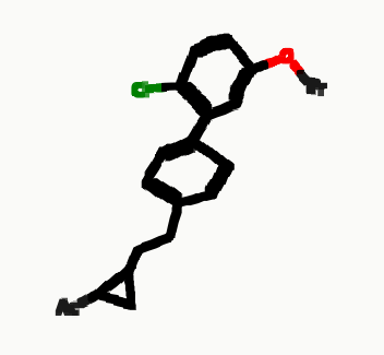 CC(=O)C1CC1CCc1ccc(-c2cc(OC(C)C)ccc2Cl)cc1